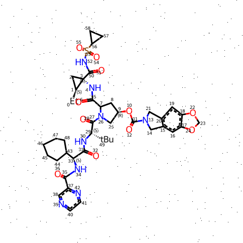 CC[C@H]1C[C@@]1(NC(=O)C1C[C@@H](OC(=O)N2Cc3cc4c(cc3C2)OCO4)CN1C(=O)[C@@H](NC(=O)[C@@H](NC(=O)c1cnccn1)C1CCCCC1)C(C)(C)C)C(=O)NS(=O)(=O)C1CC1